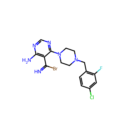 N=C(Br)c1c(N)ncnc1N1CCN(Cc2ccc(Cl)cc2F)CC1